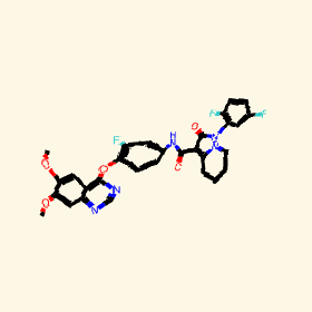 COc1cc2ncnc(Oc3ccc(NC(=O)c4c5n(n(-c6cc(F)ccc6F)c4=O)CCCC5)cc3F)c2cc1OC